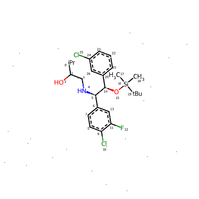 CC(C)C(O)CN[C@H](c1ccc(Cl)c(F)c1)[C@H](O[Si](C)(C)C(C)(C)C)c1cccc(Cl)c1